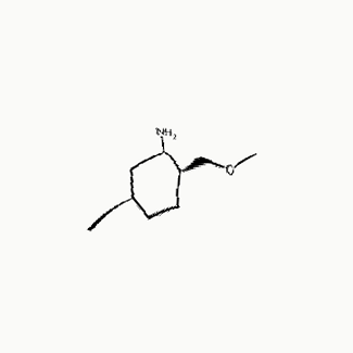 COC[C@H]1CC[C@@H](C)CC1N